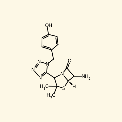 CC1(C)S[C@H]2C(N)C(=O)N2C1c1nnnn1Cc1ccc(O)cc1